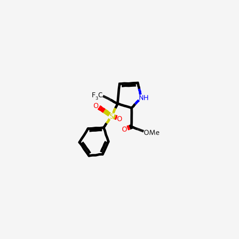 COC(=O)C1NC=CC1(C(F)(F)F)S(=O)(=O)c1ccccc1